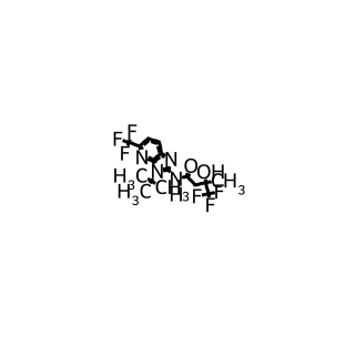 CC(C)(C)n1c(NC(=O)CC(C)(O)C(F)(F)F)nc2ccc(C(F)(F)F)nc21